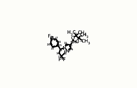 CC1(C)OB(c2cnn(C(CC(F)(F)F)c3ccc(F)cc3)c2)OC1(C)C